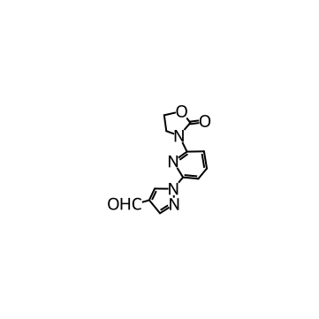 O=Cc1cnn(-c2cccc(N3CCOC3=O)n2)c1